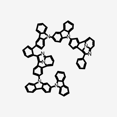 c1ccc(-c2nc3cccc4c5cc(-n6c7ccccc7c7cc(-n8c9ccccc9c9cc(-c%10ccccc%10-c%10nc%11cccc%12c%13cc(-n%14c%15ccccc%15c%15ccc(-n%16c%17ccccc%17c%17ccccc%17%16)cc%15%14)ccc%13c%10n%11%12)ccc98)ccc76)ccc5c2n34)cc1